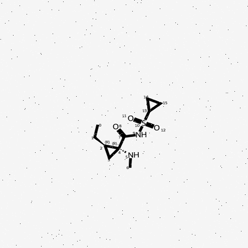 CC[C@@H]1C[C@]1(NC)C(=O)NS(=O)(=O)C1CC1